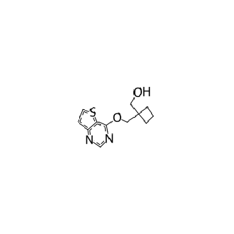 OCC1(COc2ncnc3ccsc23)CCC1